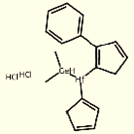 Cl.Cl.[CH3][GeH]([CH3])[Hf]([C]1=CC=CC1)[C]1=C(c2ccccc2)C=CC1